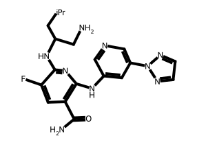 CC(C)CC(CN)Nc1nc(Nc2cncc(-n3nccn3)c2)c(C(N)=O)cc1F